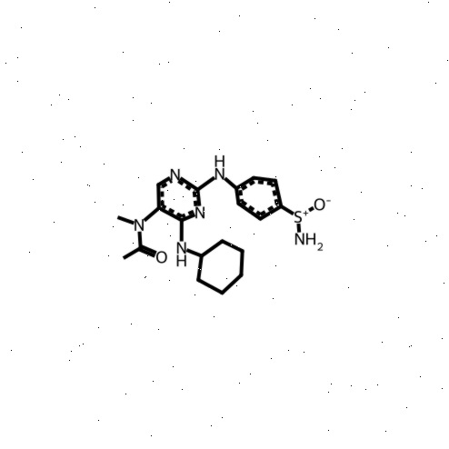 CC(=O)N(C)c1cnc(Nc2ccc([S+](N)[O-])cc2)nc1NC1CCCCC1